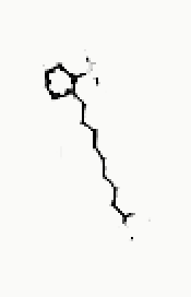 COC(CCCCCCCCc1ccccc1[P+](C)(C)C)OC.[I-]